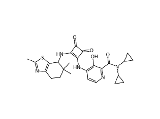 Cc1nc2c(s1)C(Nc1c(Nc3ccnc(C(=O)N(C4CC4)C4CC4)c3O)c(=O)c1=O)C(C)(C)CC2